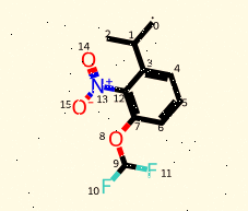 [CH2]C(C)c1cccc(OC(F)F)c1[N+](=O)[O-]